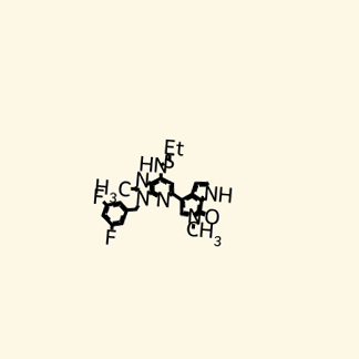 CCSNc1cc(-c2cn(C)c(=O)c3[nH]ccc23)nc2c1nc(C)n2Cc1cc(F)cc(F)c1